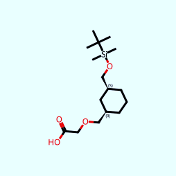 CC(C)(C)[Si](C)(C)OC[C@H]1CCC[C@@H](COCC(=O)O)C1